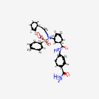 NC(=O)c1ccc(NC(=O)c2cccc(N(Cc3ccccc3)S(=O)(=O)c3ccccc3)c2)cc1